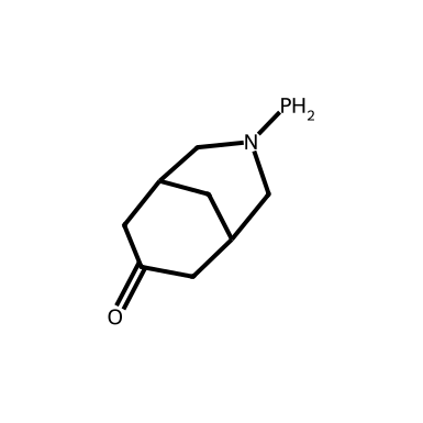 O=C1CC2CC(C1)CN(P)C2